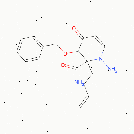 C=CCCC1(C(N)=O)C(OCc2ccccc2)C(=O)C=CN1N